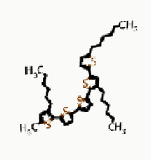 CCCCCCc1ccc(-c2cc(CCCCCC)c(-c3ccc(-c4ccc(-c5sc(C)cc5CCCCCC)s4)s3)s2)s1